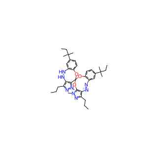 CCCc1nn(C)c2c1/N=N/c1cc(C(C)(C)CC)ccc1OC1(Oc3ccc(C(C)(C)CC)cc3NNc3c(CCC)nn(C)c31)O2